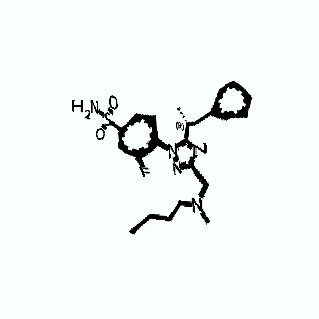 CCCCN(C)Cc1nc([C@H](C)c2ccccc2)n(-c2ccc(S(N)(=O)=O)cc2F)n1